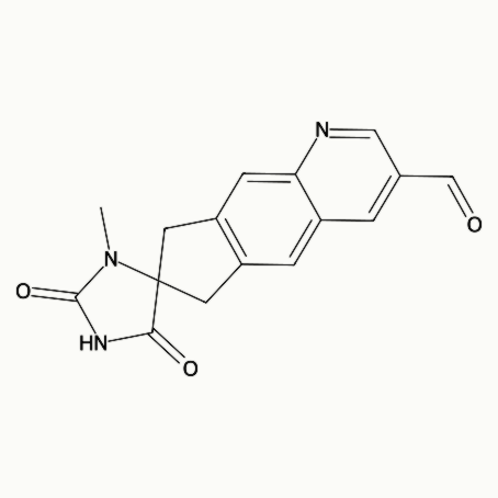 CN1C(=O)NC(=O)C12Cc1cc3cc(C=O)cnc3cc1C2